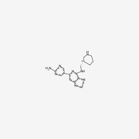 Nc1ncc(-c2cc3nccnc3c(NC[C@H]3CCCNC3)n2)cn1